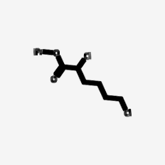 CC(C)OC(=O)C(Cl)CCCCCl